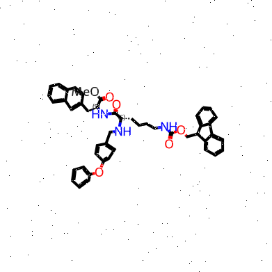 COC(=O)[C@H](Cc1ccc2ccccc2c1)NC(=O)[C@H](CCCCNC(=O)OCC1c2ccccc2-c2ccccc21)NCc1ccc(Oc2ccccc2)cc1